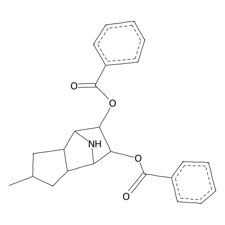 CC1CC2C(C1)C1NC2C(OC(=O)c2ccccc2)C1OC(=O)c1ccccc1